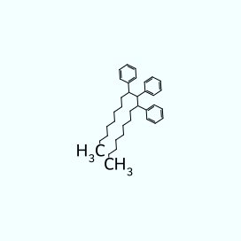 CCCCCCCCC(c1ccccc1)C(c1ccccc1)C(CCCCCCCC)c1ccccc1